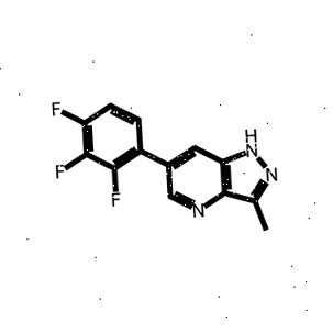 Cc1n[nH]c2cc(-c3ccc(F)c(F)c3F)cnc12